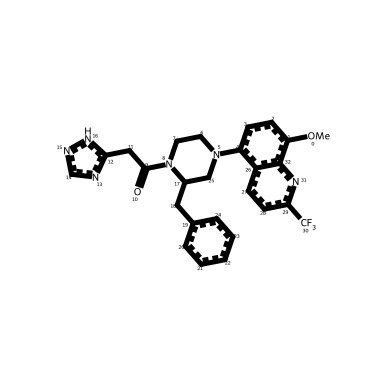 COc1ccc(N2CCN(C(=O)Cc3ncn[nH]3)C(Cc3ccccc3)C2)c2ccc(C(F)(F)F)nc12